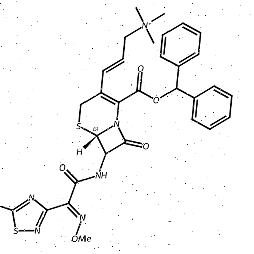 CON=C(C(=O)NC1C(=O)N2C(C(=O)OC(c3ccccc3)c3ccccc3)=C(C=CC[N+](C)(C)C)CS[C@@H]12)c1nsc(N)n1